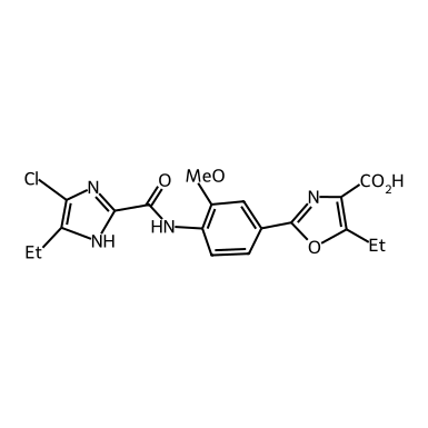 CCc1[nH]c(C(=O)Nc2ccc(-c3nc(C(=O)O)c(CC)o3)cc2OC)nc1Cl